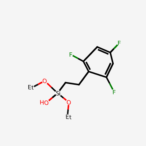 CCO[Si](O)(CCc1c(F)cc(F)cc1F)OCC